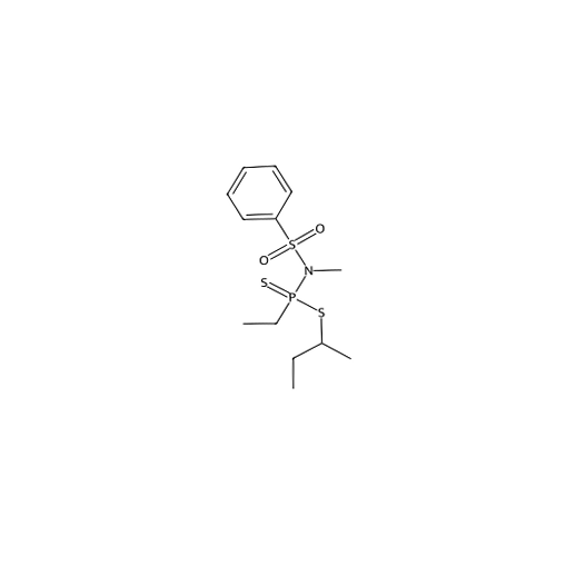 CCC(C)SP(=S)(CC)N(C)S(=O)(=O)c1ccccc1